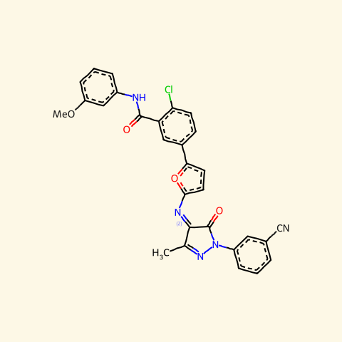 COc1cccc(NC(=O)c2cc(-c3ccc(/N=C4\C(=O)N(c5cccc(C#N)c5)N=C4C)o3)ccc2Cl)c1